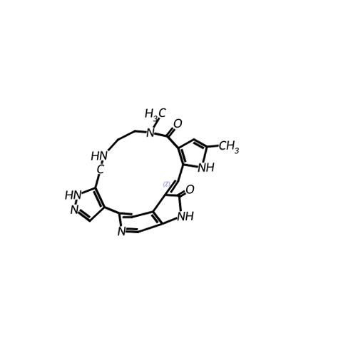 Cc1cc2c([nH]1)/C=C1\C(=O)Nc3cnc(cc31)-c1cn[nH]c1CNCCN(C)C2=O